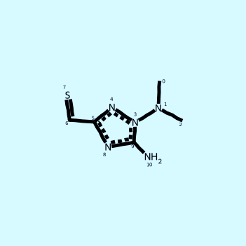 CN(C)n1nc(C=S)nc1N